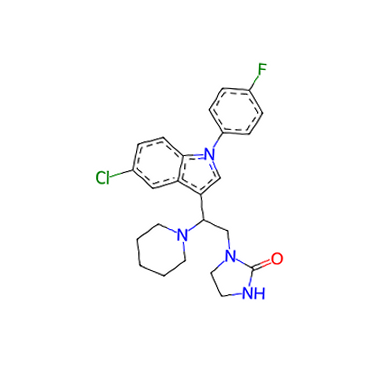 O=C1NCCN1CC(c1cn(-c2ccc(F)cc2)c2ccc(Cl)cc12)N1CCCCC1